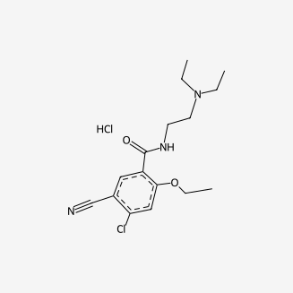 CCOc1cc(Cl)c(C#N)cc1C(=O)NCCN(CC)CC.Cl